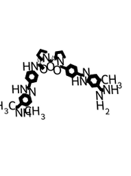 CC(=N)c1cc2[nH]c(-c3ccc(NC(=O)[C@@H]4CCCN4C(=O)[C@@H]4CCCN4C(=O)c4ccc(-c5nc6cc(C)c(C(=N)N)cc6[nH]5)cc4)cc3)nc2cc1C